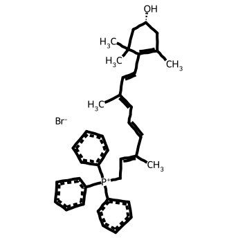 CC(C=CC1=C(C)C[C@@H](O)CC1(C)C)=CC=CC(C)=CC[P+](c1ccccc1)(c1ccccc1)c1ccccc1.[Br-]